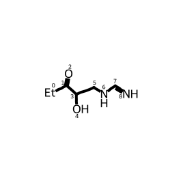 CCC(=O)C(O)CNC=N